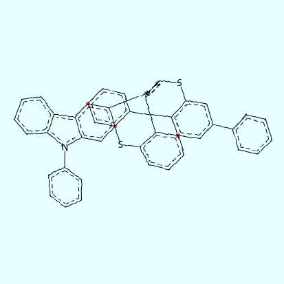 c1ccc(-c2ccc3c(c2)Sc2cccc(-c4ccc5c(c4)c4ccccc4n5-c4ccccc4)c2C32c3ccccc3Sc3ccccc32)cc1